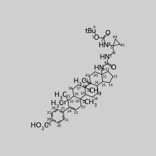 CC(C)(C)OC(=O)NC1(CNC(=O)NC23CCCC2C2CCC4C5(C)CC=C(c6ccc(C(=O)O)cc6)C(C)(C)C5CCC4(C)[C@]2(C)CC3)CC1